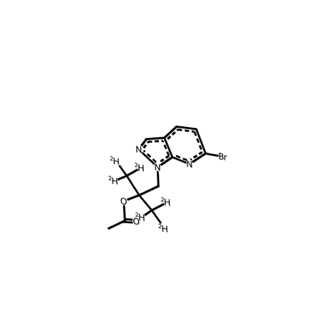 [2H]C([2H])([2H])C(Cn1ncc2ccc(Br)nc21)(OC(C)=O)C([2H])([2H])[2H]